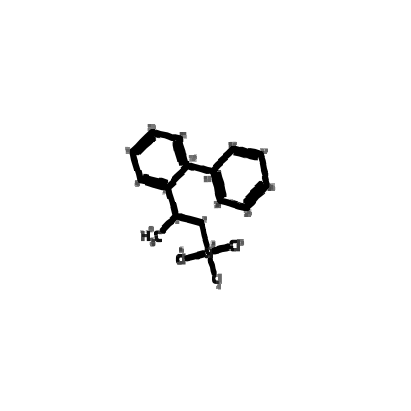 CC(C[Si](Cl)(Cl)Cl)c1ccccc1-c1ccccc1